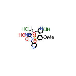 COc1ccc(S(=O)(=O)N(Cc2cccnc2)C(C(=O)NO)C(C)OCc2cccnc2)cc1.Cl.Cl